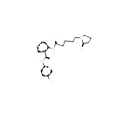 O=C(CCCCN1CCCC1=O)Nc1ccccc1C(=O)Nc1ccc(Cl)cn1